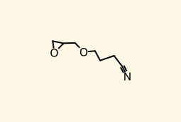 N#CCCCOCC1CO1